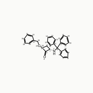 O=C1[C@@H](NC(c2ccccc2)(c2ccccc2)c2ccccc2)CN1OCc1ccccc1